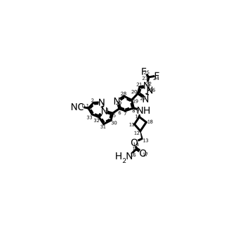 N#Cc1cnn2c(-c3cc(N[C@H]4C[C@H](COC(N)=O)C4)c(-c4cn(C(F)F)nn4)cn3)ccc2c1